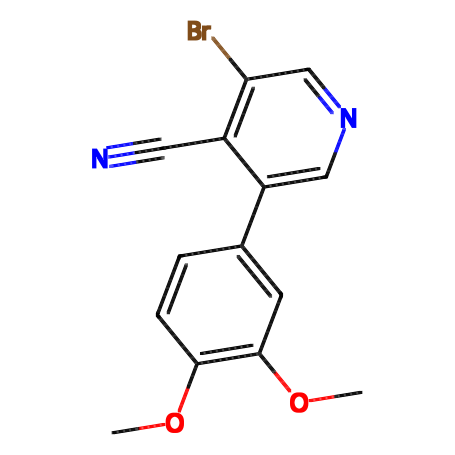 COc1ccc(-c2cncc(Br)c2C#N)cc1OC